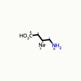 NCCCC(=O)O.[Na]